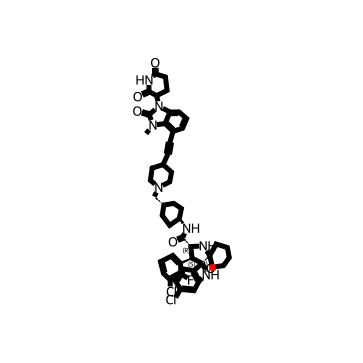 Cn1c(=O)n(C2CCC(=O)NC2=O)c2cccc(C#CC3CCN(C[C@H]4CC[C@H](NC(=O)[C@@H]5NC6(CCCCC6)[C@@]6(C(=O)Nc7cc(Cl)ccc76)[C@H]5c5cccc(Cl)c5F)CC4)CC3)c21